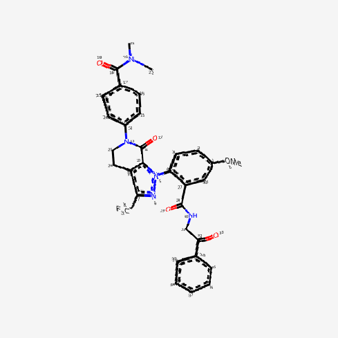 COc1ccc(-n2nc(C(F)(F)F)c3c2C(=O)N(c2ccc(C(=O)N(C)C)cc2)CC3)c(C(=O)NCC(=O)c2ccccc2)c1